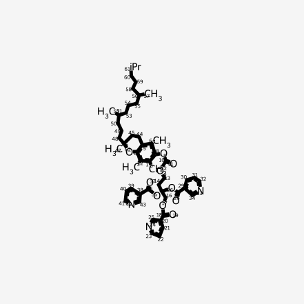 Cc1c(C)c2c(c(C)c1OC(=O)OCCC(COC(=O)c1cccnc1)(OC(=O)c1cccnc1)OC(=O)c1cccnc1)CCC(C)(CCCC(C)CCCC(C)CCCC(C)C)O2